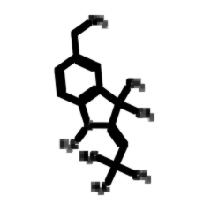 CN1C(=CC(C)(C)C)C(C)(C)c2cc(CN)ccc21